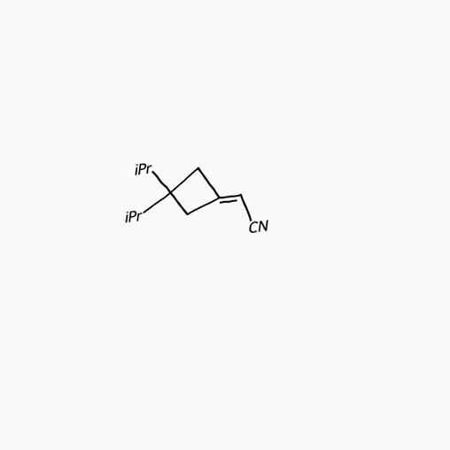 CC(C)C1(C(C)C)CC(=CC#N)C1